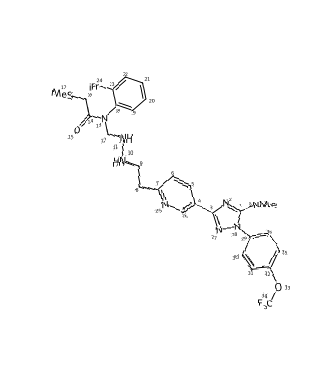 CNc1nc(-c2ccc(CCNNCN(C(=O)CSC)c3ccccc3C(C)C)nc2)nn1-c1ccc(OC(F)(F)F)cc1